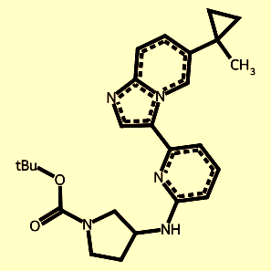 CC(C)(C)OC(=O)N1CCC(Nc2cccc(-c3cnc4ccc(C5(C)CC5)cn34)n2)C1